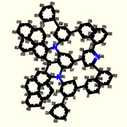 c1ccc(-c2cc(-c3ccccc3)cc(N3c4cc(-c5cc(-c6ccccc6)nc(-c6ccccc6)c5)cc5c4B(c4cc6ccc7cccc8ccc(c43)c6c78)c3cc4ccc6cccc7ccc(c3N5c3cc(-c5ccccc5)cc(-c5ccccc5)c3)c4c67)c2)cc1